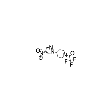 O=C(N1CCC(n2cc([N+](=O)[O-])cn2)CC1)C(F)(F)F